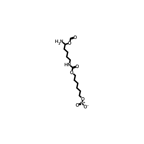 NC(CCCCNC(=O)OCCCCCCO[N+](=O)[O-])OC=O